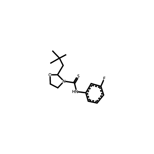 CC(C)(C)CC1OCCN1C(=S)Nc1cccc(F)c1